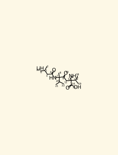 CC(C)CC(=O)NC(C)(C(=O)CC(N)(C(=O)O)C(C)C)C(C)C.[LiH]